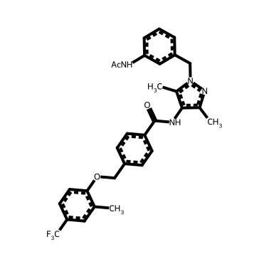 CC(=O)Nc1cccc(Cn2nc(C)c(NC(=O)c3ccc(COc4ccc(C(F)(F)F)cc4C)cc3)c2C)c1